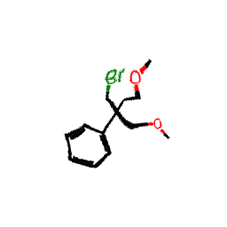 COCC(CBr)(COC)c1ccccc1